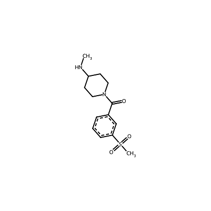 CNC1CCN(C(=O)c2cccc(S(C)(=O)=O)c2)CC1